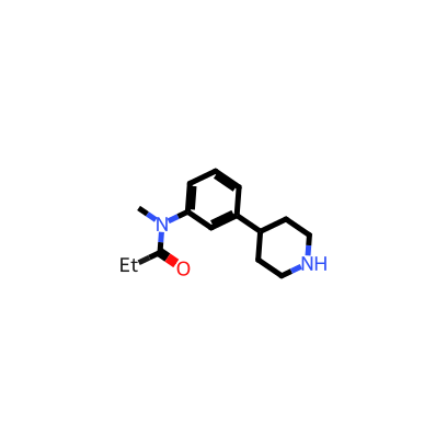 CCC(=O)N(C)c1cccc(C2CCNCC2)c1